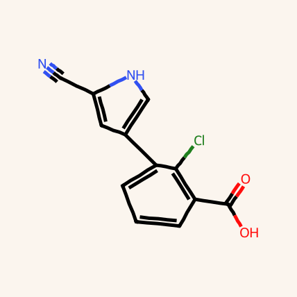 N#Cc1cc(-c2cccc(C(=O)O)c2Cl)c[nH]1